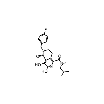 CC(C)CN(C)C(=O)c1nc(O)c(O)c2c1CCN(Cc1ccc(F)cc1)C2=O